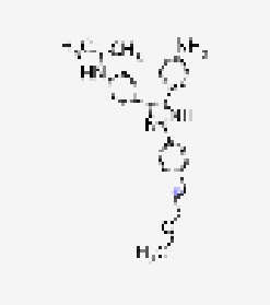 CCOC/C=C/c1ccc(-c2nc(-c3ccc(NC(C)C)cc3)c(-c3ccc(N)cc3)[nH]2)cc1